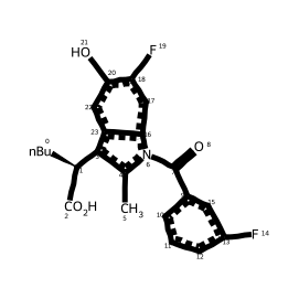 CCCC[C@H](C(=O)O)c1c(C)n(C(=O)c2cccc(F)c2)c2cc(F)c(O)cc12